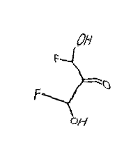 O=C(C(O)F)C(O)F